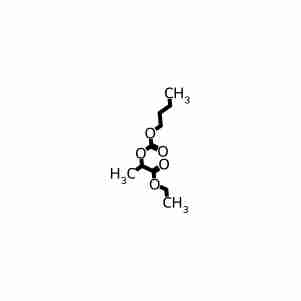 CCCCOC(=O)OC(C)C(=O)OCC